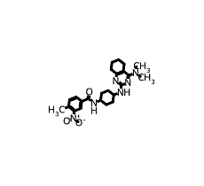 Cc1ccc(C(=O)NC2CCC(Nc3nc4c(c(N(C)C)n3)CCCC4)CC2)cc1[N+](=O)[O-]